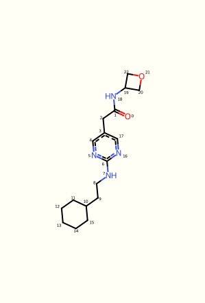 O=C(Cc1cnc(NCCC2CCCCC2)nc1)NC1COC1